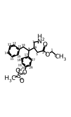 CCOC(=O)CC(CN)C(Cc1ccccc1)c1ccc(OS(C)(=O)=O)cc1